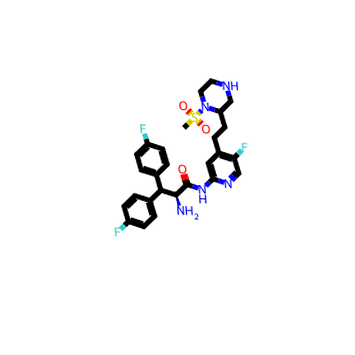 CS(=O)(=O)N1CCNCC1CCc1cc(NC(=O)[C@@H](N)C(c2ccc(F)cc2)c2ccc(F)cc2)ncc1F